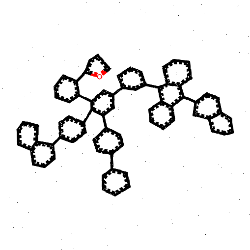 c1ccc(-c2ccc(-c3cc(-c4cccc(-c5c6ccccc6c(-c6ccc7ccccc7c6)c6ccccc56)c4)cc(-c4ccccc4-c4ccco4)c3-c3ccc(-c4cccc5ccccc45)cc3)cc2)cc1